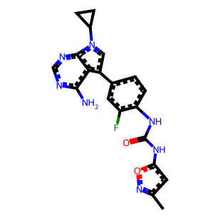 Cc1cc(NC(=O)Nc2ccc(-c3cn(C4CC4)c4ncnc(N)c34)cc2F)on1